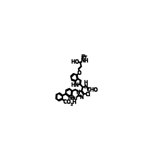 CCCCc1nc(Cl)c(C(NC=O)c2cc3c(OCCC(O)NC(C)C)cccc3[nH]2)n1Cc1ccc(-c2ccccc2C(=O)O)cc1